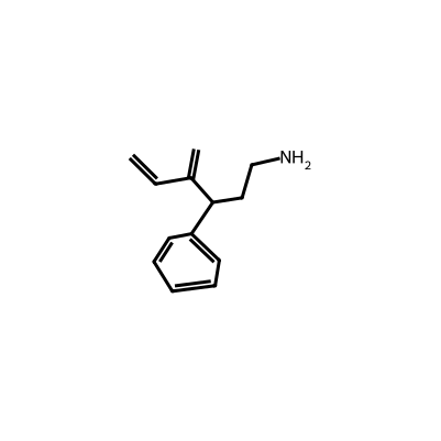 C=CC(=C)C(CCN)c1ccccc1